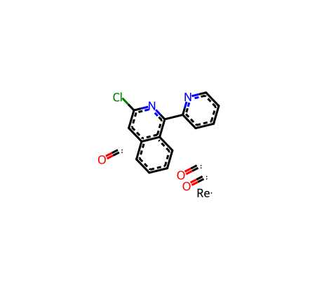 Clc1cc2ccccc2c(-c2ccccn2)n1.[C]=O.[C]=O.[C]=O.[Re]